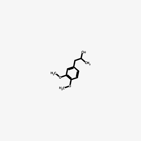 [CH]C(C)Cc1ccc(OC)c(OC)c1